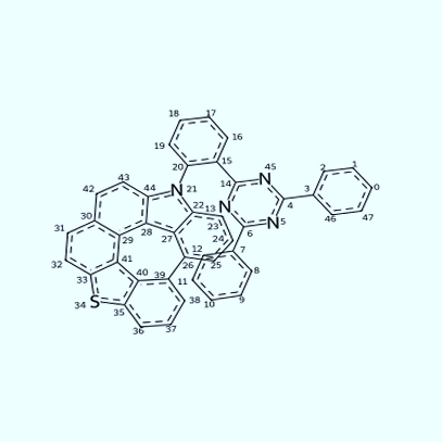 c1ccc(-c2nc(-c3ccccc3)nc(-c3ccccc3-n3c4cccc5c4c4c6c(ccc7sc8cccc-5c8c76)ccc43)n2)cc1